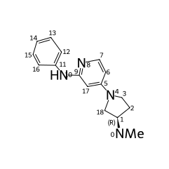 CN[C@@H]1CCN(c2ccnc(Nc3ccccc3)c2)C1